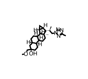 COC[C@@]1(O)CC[C@H]2[C@@H](CC[C@@H]3[C@@H]2CC[C@@]2(C)[C@H]3[C@@H]3C[C@@H]3[C@@H]2[C@@H](C)Cn2nnc(C)n2)C1